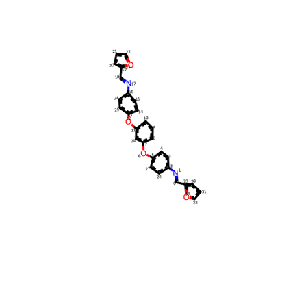 C(=N\c1ccc(Oc2cccc(Oc3ccc(/N=C/c4ccco4)cc3)c2)cc1)/c1ccco1